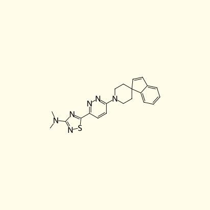 CN(C)c1nsc(-c2ccc(N3CCC4(C=Cc5ccccc54)CC3)nn2)n1